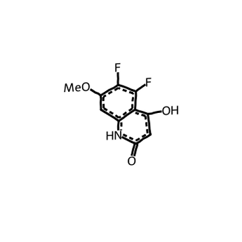 COc1cc2[nH]c(=O)cc(O)c2c(F)c1F